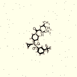 CN[C@H](CC(C)C)C(=O)N1CCC(N(C2CC2)S(=O)(=O)c2cccc(C(F)(F)F)c2)CC1